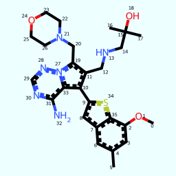 COc1cc(C)cc2cc(-c3c(CNCC(C)(C)O)c(CN4CCOCC4)n4ncnc(N)c34)sc12